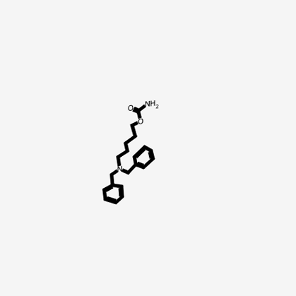 NC(=O)OCCCCCN(Cc1ccccc1)Cc1ccccc1